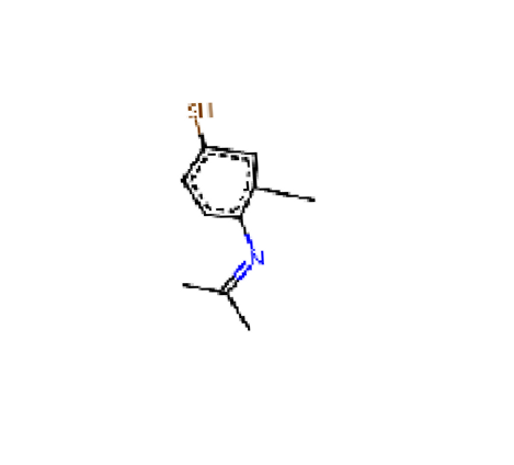 CC(C)=Nc1ccc(S)cc1C